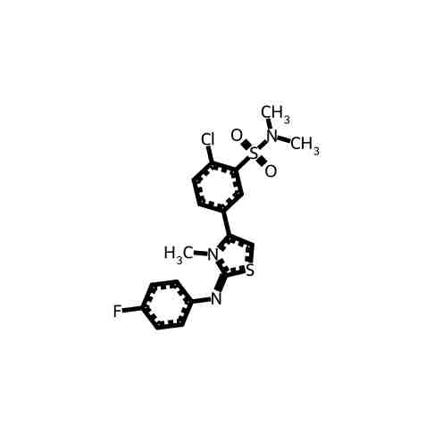 CN(C)S(=O)(=O)c1cc(-c2csc(=Nc3ccc(F)cc3)n2C)ccc1Cl